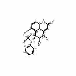 Cc1ccc2oc(=O)cc3c2c1C(C)(CC(F)(F)Sc1ccccc1)C(=O)N3C